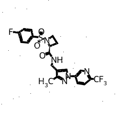 Cc1nn(-c2ccc(C(F)(F)F)nc2)cc1CNC(=O)[C@@H]1CCN1S(=O)(=O)c1ccc(F)cc1